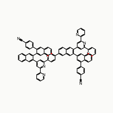 N#Cc1ccc(-c2cc3ccccc3cc2-c2cc3ccccc3cc2-c2cc(-c3ccccn3)nc(-c3ccc(-c4ccc5cc(-c6cc(-c7ccccn7)nc(-c7ccccn7)c6)c(-c6cc(-c7ccc(C#N)cc7)c7ccccc7c6)cc5c4)cn3)c2)cc1